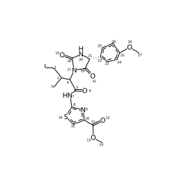 CCC(C)C(C(=O)Nc1nc(C(=O)OC)cs1)N1C(=O)N[C@H](c2ccc(OC)cc2)C1=O